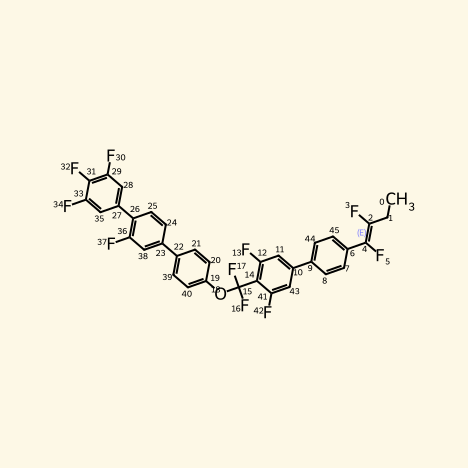 CC/C(F)=C(\F)c1ccc(-c2cc(F)c(C(F)(F)Oc3ccc(-c4ccc(-c5cc(F)c(F)c(F)c5)c(F)c4)cc3)c(F)c2)cc1